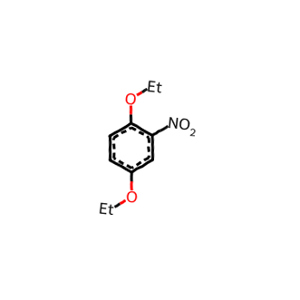 CCOc1ccc(OCC)c([N+](=O)[O-])c1